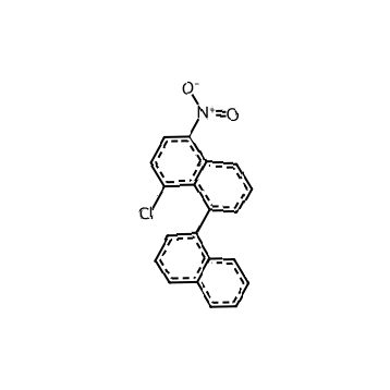 O=[N+]([O-])c1ccc(Cl)c2c(-c3cccc4ccccc34)cccc12